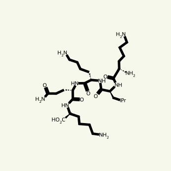 CC(C)C[C@H](NC(=O)[C@@H](N)CCCCN)C(=O)N[C@@H](CCCCN)C(=O)N[C@@H](CCC(N)=O)C(=O)N[C@@H](CCCCN)C(=O)O